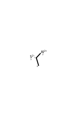 C[CH2][Al+2].[S-2]